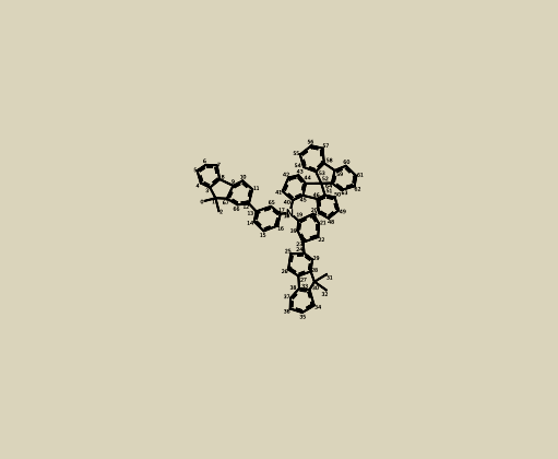 CC1(C)c2ccccc2-c2ccc(-c3cccc(N(c4cccc(-c5ccc6c(c5)C(C)(C)c5ccccc5-6)c4)c4cccc5c4-c4ccccc4C54c5ccccc5-c5ccccc54)c3)cc21